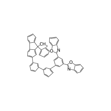 CC1(c2ccccc2)c2ccccc2-c2ccc(-c3cccc(-c4cccc(-c5cc(-c6nc7ccccc7o6)cc(-c6nc7ccccc7o6)c5)c4)c3)cc21